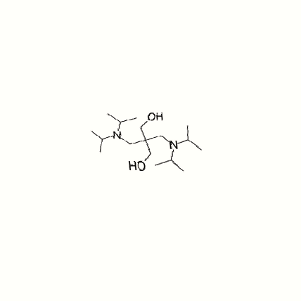 CC(C)N(CC(CO)(CO)CN(C(C)C)C(C)C)C(C)C